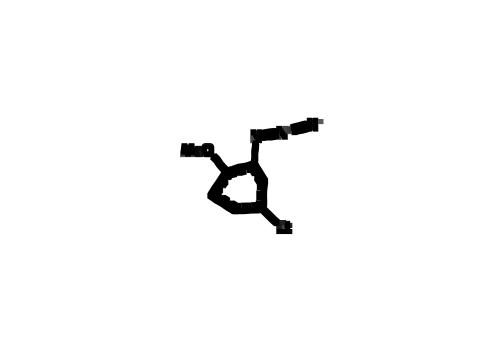 CCc1ccc(OC)c(N=[N+]=[N-])c1